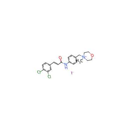 C[N+]1(Cc2ccc(NC(=O)/C=C/c3ccc(Cl)c(Cl)c3)cc2)CCOCC1.[I-]